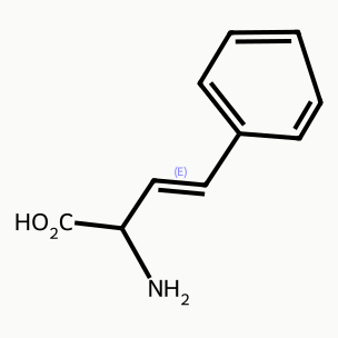 NC(/C=C/c1ccccc1)C(=O)O